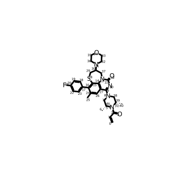 C=CC(=O)N1[C@H](C)CN(c2nc(=O)n3c4c(c(-c5ccc(F)cc5)c(C)cc24)SCC(N2CCOCC2)C3)C[C@@H]1C